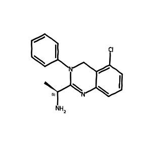 C[C@H](N)C1=Nc2cccc(Cl)c2CN1c1ccccc1